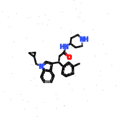 Cc1cccc(C(CC(=O)NC2CCNCC2)c2cn(CC3CC3)c3ccccc23)c1